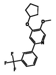 COc1cnc(-c2[c]c(C(F)(F)F)ccc2)cc1OC1CCCC1